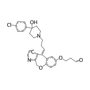 O=CCCOc1ccc2c(c1)/C(=C/CCN1CCC(O)(c3ccc(Cl)cc3)CC1)c1cccnc1CO2